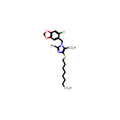 CC(C)c1nc(SCCCCCCCC(=O)O)c(C(=O)O)n1Cc1cc2c(cc1Cl)OCO2